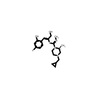 C/N=C(\S/C(=C\c1ccc(F)cc1O)CO)N1CCN(CC2CC2)C[C@@H]1C